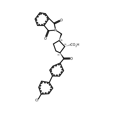 O=C(O)[C@H]1[C@H](CN2C(=O)c3ccccc3C2=O)CC[C@@H]1C(=O)c1ccc(-c2ccc(Cl)cc2)cc1